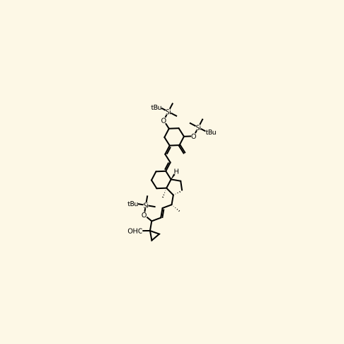 C=C1C(=CC=C2CCC[C@]3(C)[C@@H]([C@H](C)C=CC(O[Si](C)(C)C(C)(C)C)C4(C=O)CC4)CC[C@@H]23)CC(O[Si](C)(C)C(C)(C)C)CC1O[Si](C)(C)C(C)(C)C